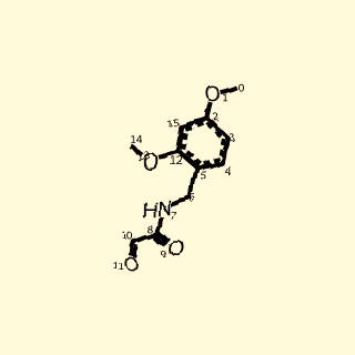 COc1ccc(CNC(=O)C=O)c(OC)c1